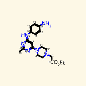 CCOC(=O)CN1CCN(c2cc(Nc3ccc(N)cc3)nc(C)n2)CC1